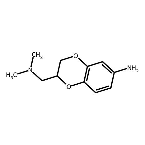 CN(C)CC1COc2cc(N)ccc2O1